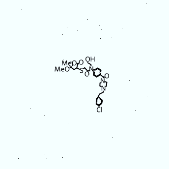 COC(=O)CC(SCC(=O)N(CCO)c1ccc(C(=O)N2CCN(CCc3ccc(Cl)cc3)CC2)cc1)C(=O)OC